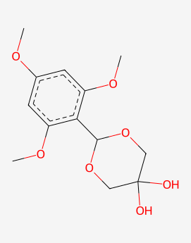 COc1cc(OC)c(C2OCC(O)(O)CO2)c(OC)c1